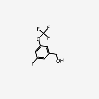 O[CH]c1cc(I)cc(OC(F)(F)F)c1